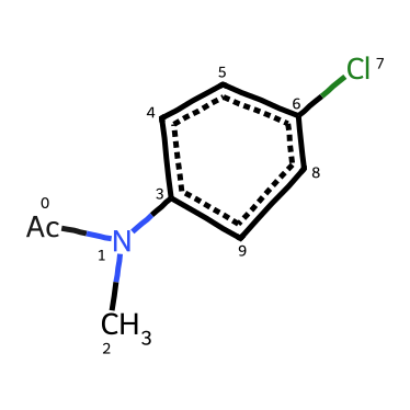 [CH2]C(=O)N(C)c1ccc(Cl)cc1